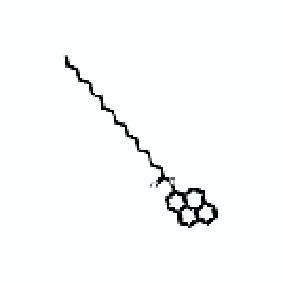 CCCCCCCCCCCCCCCCCC(=O)Oc1ccc2ccc3cccc4ccc1c2c34